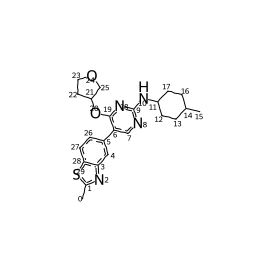 Cc1nc2cc(-c3cnc(NC4CCC(C)CC4)nc3OC3CCOC3)ccc2s1